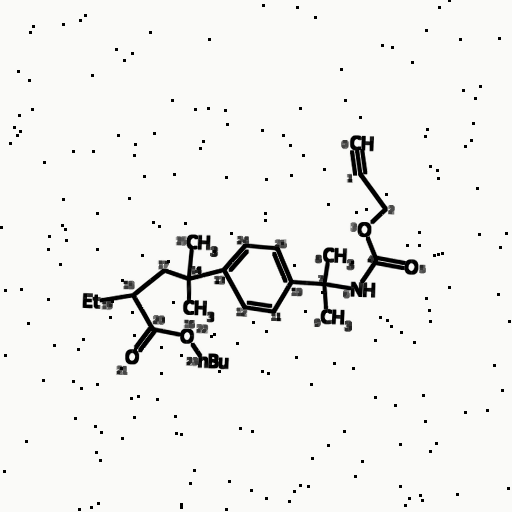 C#CCOC(=O)NC(C)(C)c1ccc(C(C)(C)CC(CC)C(=O)OCCCC)cc1